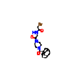 O=C(CBr)NCC(=O)N1CCN(C(=O)C23CC4CC(CC(C4)C2)C3)CC1